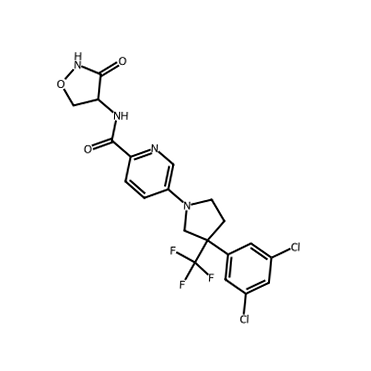 O=C(NC1CONC1=O)c1ccc(N2CCC(c3cc(Cl)cc(Cl)c3)(C(F)(F)F)C2)cn1